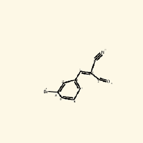 N#CC(C=O)=Cc1cccc(Br)c1